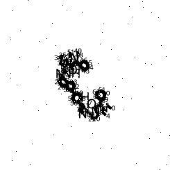 CCN(CC)[C@@H](C(=O)N1CCC[C@H]1c1ncc(-c2ccc(-c3ccc4c(ccc5nc([C@@H]6C[Si](C)(C)CN6C(=O)[C@@H](c6ccccc6)N(CC)CC)[nH]c54)c3)cc2)[nH]1)c1ccccc1